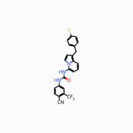 N#Cc1ccc(NC(=O)Nc2cccc3c(Cc4ccc(F)cc4)ccn23)cc1C(F)(F)F